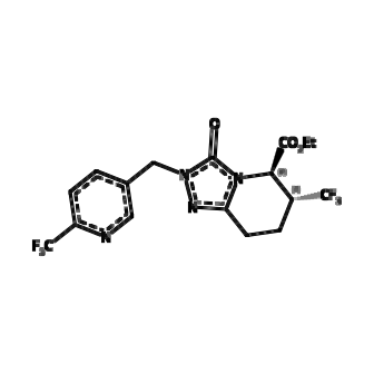 CCOC(=O)[C@H]1[C@H](C(F)(F)F)CCc2nn(Cc3ccc(C(F)(F)F)nc3)c(=O)n21